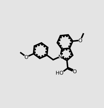 COc1cccc(Cn2c(C(=O)O)cc3c(OC)cccc32)c1